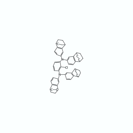 Clc1c(N(c2ccc3c(c2)C2CCC3CC2)c2ccc3c(c2)C2CCC3CC2)cccc1N(c1ccc2c(c1)C1CCC2CC1)c1ccc2c(c1)C1CCC2CC1